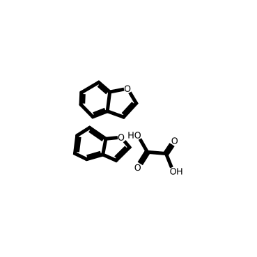 O=C(O)C(=O)O.c1ccc2occc2c1.c1ccc2occc2c1